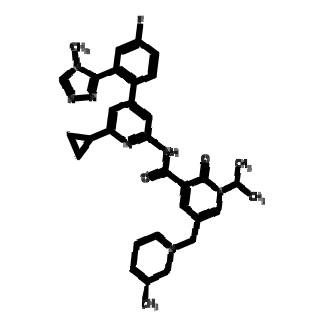 CC(C)n1cc(CN2CCC[C@H](C)C2)cc(C(=O)Nc2cc(-c3ccc(F)cc3-c3nncn3C)cc(C3CC3)n2)c1=O